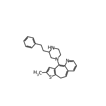 Cc1cc2c(s1)CC=c1cccnc1=C2N1CCNC(CCc2ccccc2)C1